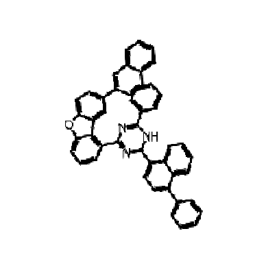 c1ccc(C2=NC(c3cccc4oc5ccc(-c6ccc7ccccc7c6)cc5c34)=NC(c3ccc(-c4ccccc4)c4ccccc34)N2)cc1